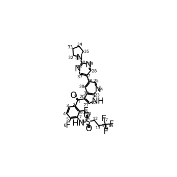 O=C(c1ccc(F)c(NS(=O)(=O)CCC(F)(F)F)c1F)c1c[nH]c2ncc(-c3cnc(N4CCCC4)nc3)cc12